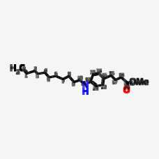 C=CCCCCCCCCCNc1ccc(CCCC(=O)OC)cc1